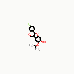 CC(C)Oc1cc2c(C=O)c(-c3ccc(F)cc3)oc2cc1O